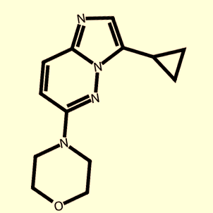 c1cc2ncc(C3CC3)n2nc1N1CCOCC1